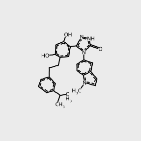 CC(C)c1cccc(CCc2cc(-c3n[nH]c(=O)n3-c3ccc4c(ccn4C)c3)c(O)cc2O)c1